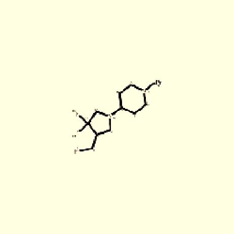 CC(C)CC1CN(C2CCN(C(C)C)CC2)CC1(F)F